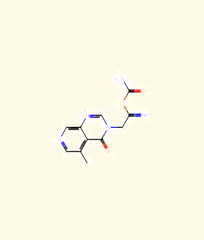 Cc1cncc2ncn(CC(=N)OC(N)=O)c(=O)c12